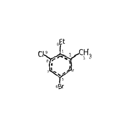 CCc1c(C)cc(Br)cc1Cl